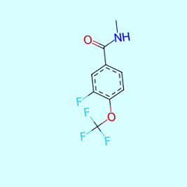 CNC(=O)c1ccc(OC(F)(F)F)c(F)c1